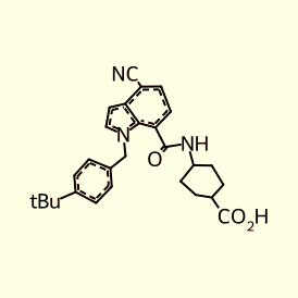 CC(C)(C)c1ccc(Cn2ccc3c(C#N)ccc(C(=O)NC4CCC(C(=O)O)CC4)c32)cc1